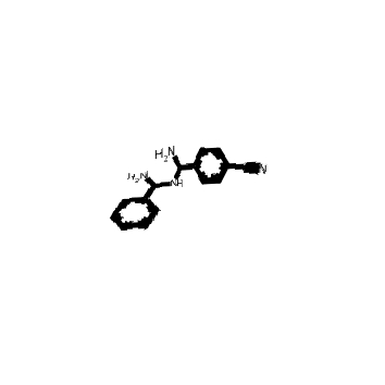 N#Cc1ccc(C(N)NC(N)c2ccccc2)cc1